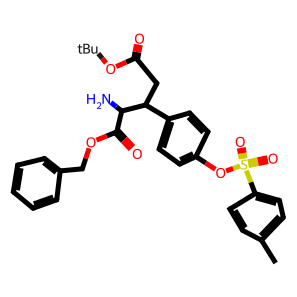 Cc1ccc(S(=O)(=O)Oc2ccc(C(CC(=O)OC(C)(C)C)C(N)C(=O)OCc3ccccc3)cc2)cc1